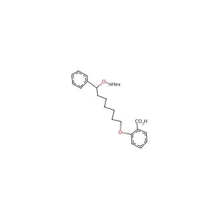 CCCCCCOC(CCCCCCOc1ccccc1C(=O)O)c1ccccc1